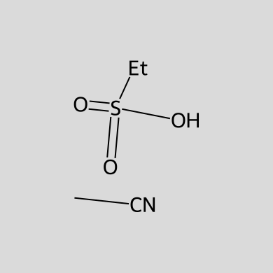 CC#N.CCS(=O)(=O)O